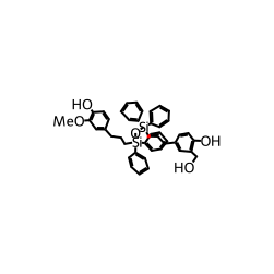 COc1cc(CCC[Si](O[Si](CCCc2ccc(O)c(CO)c2)(c2ccccc2)c2ccccc2)(c2ccccc2)c2ccccc2)ccc1O